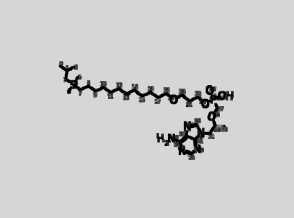 CC(C)C[Si](C)(C)CCCCCCCCCCCCOCCCOP(=O)(O)CO[C@H](C)Cn1cnc2c(N)ncnc21